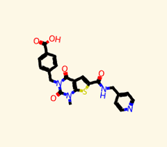 Cn1c(=O)n(Cc2ccc(C(=O)O)cc2)c(=O)c2cc(C(=O)NCc3ccncc3)sc21